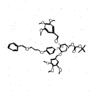 COc1cc(CO[C@H]2CN(OC(=O)OC(C)(C)C)C[C@@H](OCc3cc(OC)c(OC)c(OC)c3)[C@H]2c2ccc(OCCCOCc3ccccc3)cc2)cc(OC)c1OC